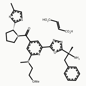 COCCN(C)c1cc(C(=O)N2CCC[C@@H]2c2nc(C)cs2)cc(-c2nnc([C@](C)(N)Cc3ccccc3)o2)n1.O=C(O)C=CC(=O)O